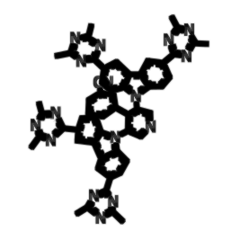 Cc1nc(C)nc(-c2ccc3c(c2)c2cc(-c4nc(C)nc(C)n4)ccc2n3-c2cncc(-n3c4ccc(-c5nc(C)nc(C)n5)cc4c4cc(-c5nc(C)nc(C)n5)ccc43)c2-c2cccc(C#N)c2)n1